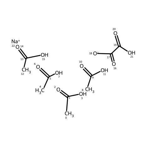 CC(=O)O.CC(=O)O.CC(=O)O.CC(=O)O.O=C([O-])C(=O)O.[Na+]